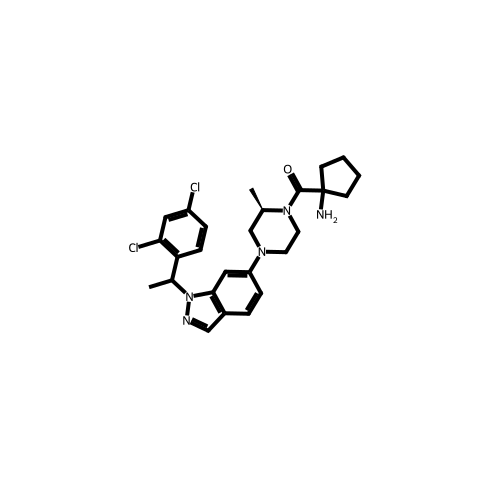 CC(c1ccc(Cl)cc1Cl)n1ncc2ccc(N3CCN(C(=O)C4(N)CCCC4)[C@H](C)C3)cc21